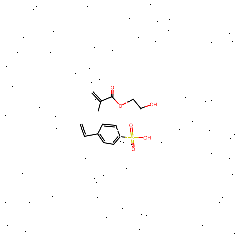 C=C(C)C(=O)OCCO.C=Cc1ccc(S(=O)(=O)O)cc1